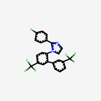 Fc1ccc(-c2nccn2-c2ccc(C(F)(F)F)cc2-c2cccc(C(F)(F)F)c2)cc1